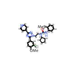 COc1ccc(-c2nc(-c3ccncc3)nn2CCN(C(=O)Nc2ccccc2SC)C2CCCC2)cc1Cl